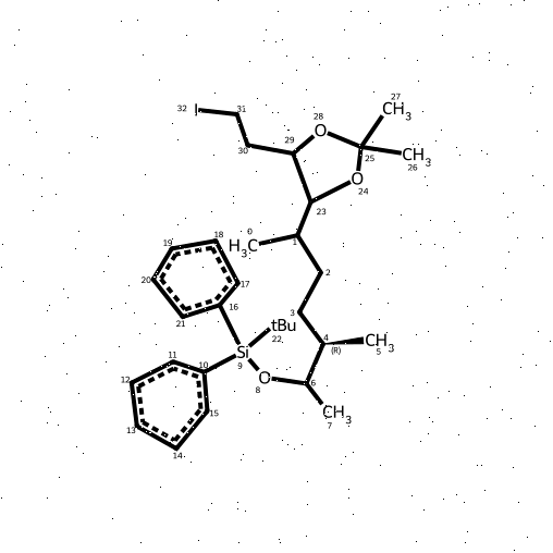 CC(CC[C@@H](C)C(C)O[Si](c1ccccc1)(c1ccccc1)C(C)(C)C)C1OC(C)(C)OC1CCI